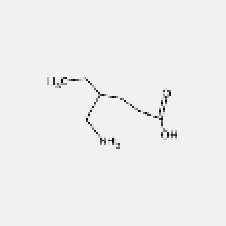 CCC(CN)CCC(=O)O